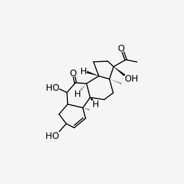 CC(=O)[C@@]1(O)CC[C@H]2[C@@H]3C(=O)C(O)C4CC(O)C=C[C@]4(C)[C@H]3CC[C@@]21C